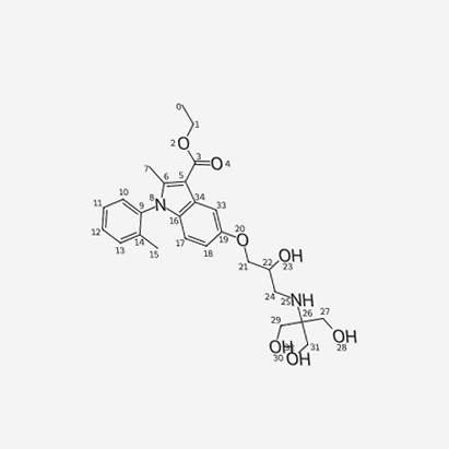 CCOC(=O)c1c(C)n(-c2ccccc2C)c2ccc(OCC(O)CNC(CO)(CO)CO)cc12